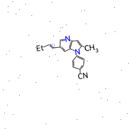 CC/C=C/c1cnc2cc(C)n(-c3ccc(C#N)cc3)c2c1